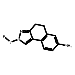 Nc1ccc2c(c1)CCc1nn(SF)cc1-2